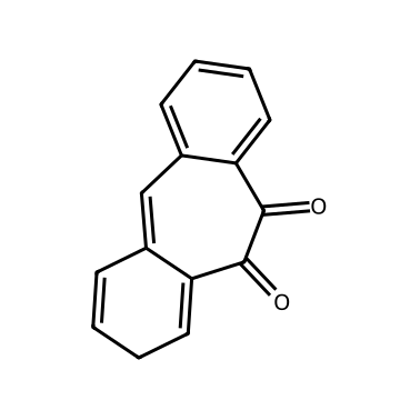 O=C1C(=O)c2ccccc2C=C2C=CCC=C12